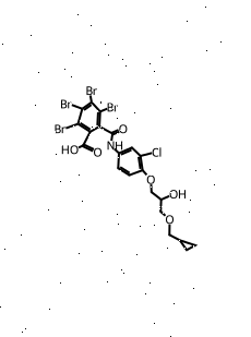 O=C(O)c1c(Br)c(Br)c(Br)c(Br)c1C(=O)Nc1ccc(OCC(O)COCC2CC2)c(Cl)c1